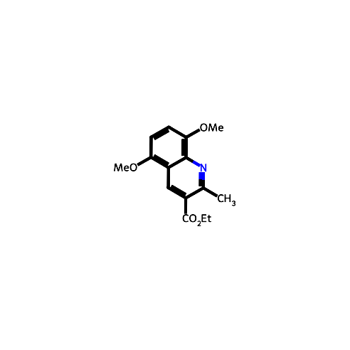 CCOC(=O)c1cc2c(OC)ccc(OC)c2nc1C